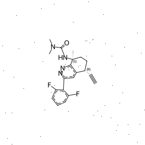 C#C[C@H]1CC[C@](C)(NC(=O)N(C)C)c2nnc(-c3c(F)cccc3F)cc21